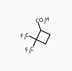 O=C(O)C1CCC1(C(F)(F)F)C(F)(F)F